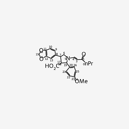 CCCC(=O)C=CN1CC(c2ccc3c(c2)OCO3)C(C(=O)O)C1c1ccc(OC)cc1